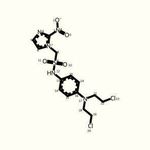 O=[N+]([O-])c1nccn1CS(=O)(=O)Nc1ccc(N(CCCl)CCCl)cc1